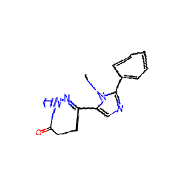 Cn1c(C2=NNC(=O)CC2)cnc1-c1ccccc1